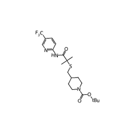 CC(C)(C)OC(=O)N1CCC(CSC(C)(C)C(=O)Nc2ccc(C(F)(F)F)cn2)CC1